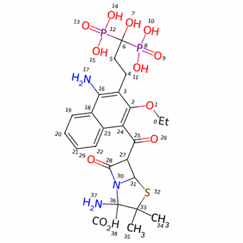 CCOc1c(CCC(O)(P(=O)(O)O)P(=O)(O)O)c(N)c2ccccc2c1C(=O)C1C(=O)N2C1SC(C)(C)C2(N)C(=O)O